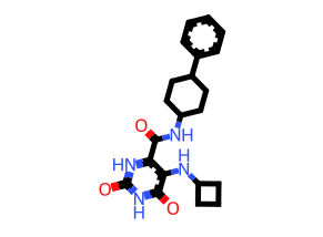 O=C(NC1CCC(c2ccccc2)CC1)c1[nH]c(=O)[nH]c(=O)c1NC1CCC1